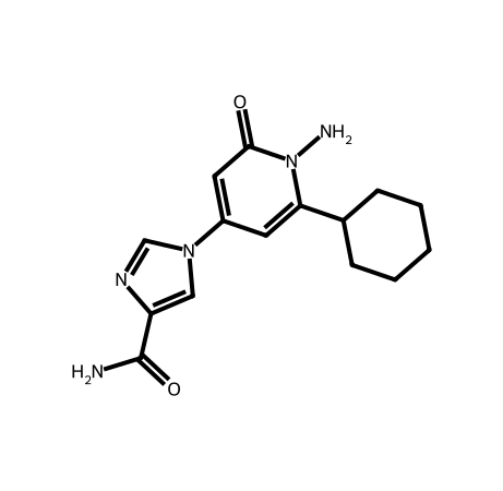 NC(=O)c1cn(-c2cc(C3CCCCC3)n(N)c(=O)c2)cn1